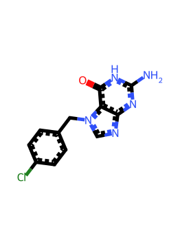 Nc1nc2ncn(Cc3ccc(Cl)cc3)c2c(=O)[nH]1